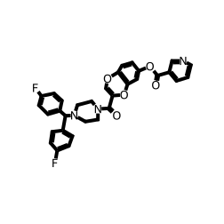 O=C(Oc1ccc2c(c1)OC(C(=O)N1CCN(C(c3ccc(F)cc3)c3ccc(F)cc3)CC1)=CO2)c1cccnc1